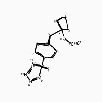 CC1(c2ccc(CC3(OC=O)CCC3)cc2)N=NN=N1